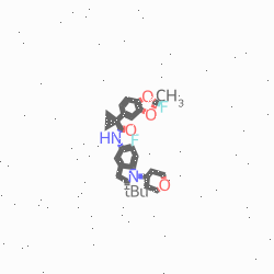 CC1(F)Oc2ccc(C3(C(=O)Nc4cc5c(cc4F)N(C4CCOCC4)C(C(C)(C)C)C5)CC3)cc2O1